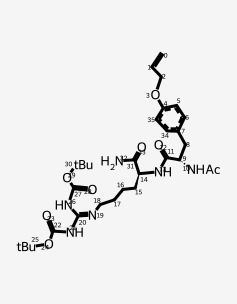 C=CCOc1ccc(C[C@H](NC(C)=O)C(=O)N[C@@H](CCCCN=C(NC(=O)OC(C)(C)C)NC(=O)OC(C)(C)C)C(N)=O)cc1